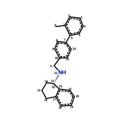 Cc1ccccc1-c1ccc(CN[C@H]2CCCc3ccccc32)cc1